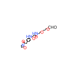 O=COCCCOCCNC(=O)CC(=O)Nc1ccc(CC(=O)N2CCC2=O)cc1